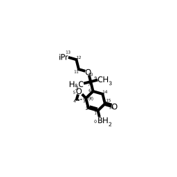 BC1=C[C@]2(CO2)C(C(C)(C)OCCC(C)C)CC1=O